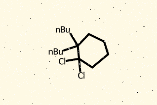 CCCCC1(CCCC)CCCCC1(Cl)Cl